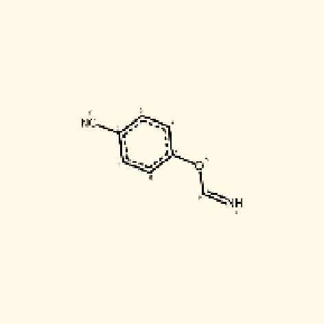 N#Cc1ccc(OC=N)cc1